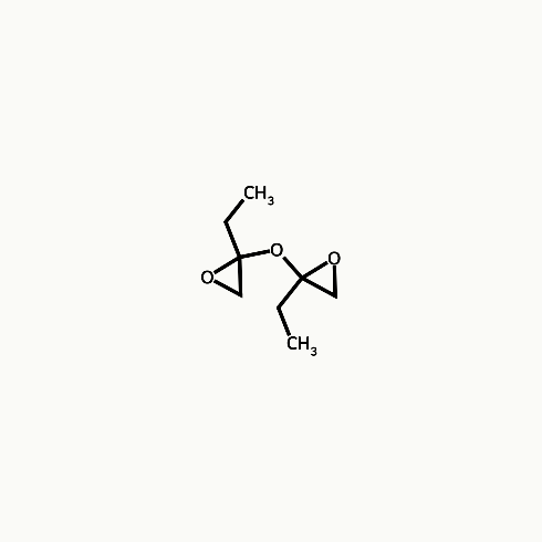 CCC1(OC2(CC)CO2)CO1